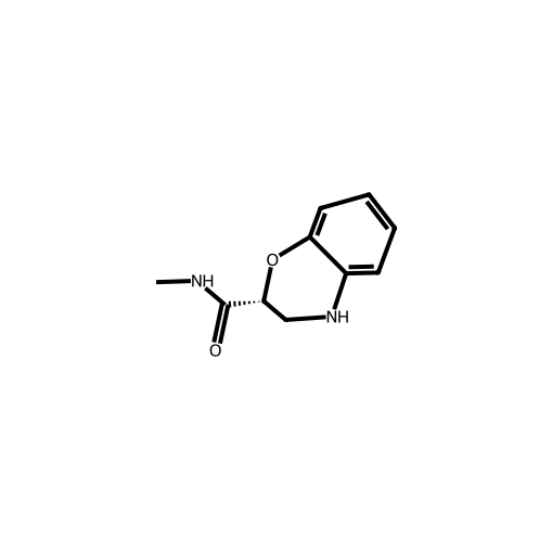 CNC(=O)[C@H]1CNc2ccccc2O1